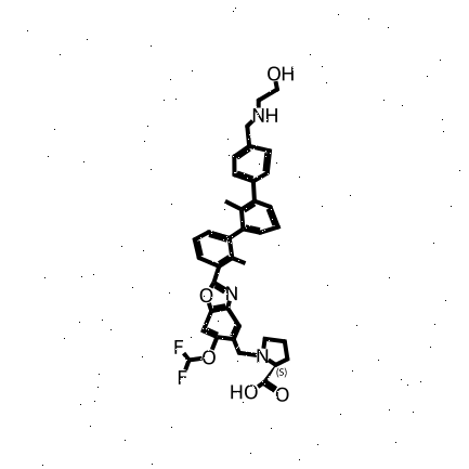 Cc1c(-c2ccc(CNCCO)cc2)cccc1-c1cccc(-c2nc3cc(CN4CCC[C@H]4C(=O)O)c(OC(F)F)cc3o2)c1C